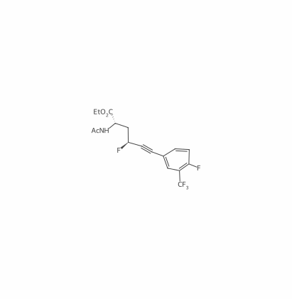 CCOC(=O)[C@H](C[C@H](F)C#Cc1ccc(F)c(C(F)(F)F)c1)NC(C)=O